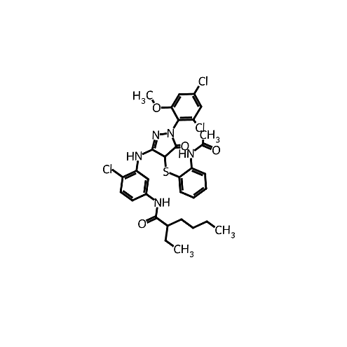 CCCCC(CC)C(=O)Nc1ccc(Cl)c(NC2=NN(c3c(Cl)cc(Cl)cc3OC)C(=O)C2Sc2ccccc2NC(C)=O)c1